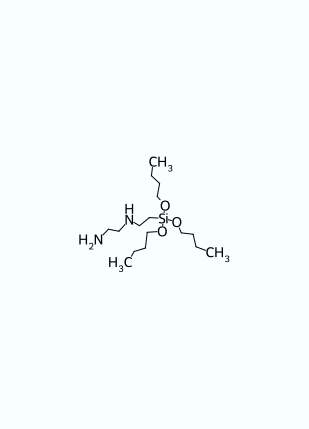 CCCCO[Si](CCNCCN)(OCCCC)OCCCC